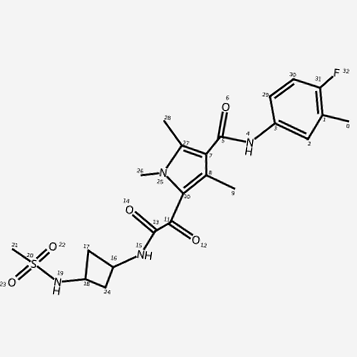 Cc1cc(NC(=O)c2c(C)c(C(=O)C(=O)NC3CC(NS(C)(=O)=O)C3)n(C)c2C)ccc1F